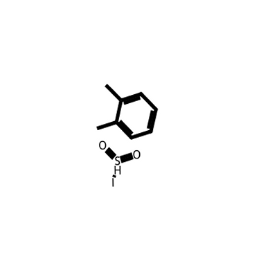 Cc1ccccc1C.O=[SH](=O)I